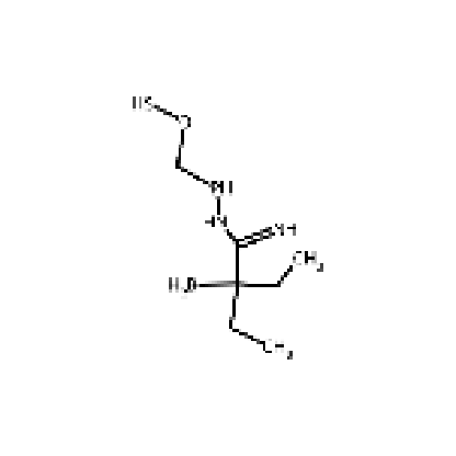 BC(CC)(CC)C(=N)NPCOS